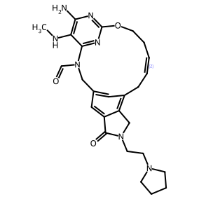 CNc1c(N)nc2nc1N(C=O)Cc1cc(c3c(c1)C(=O)N(CCN1CCCC1)C3)C/C=C\CCO2